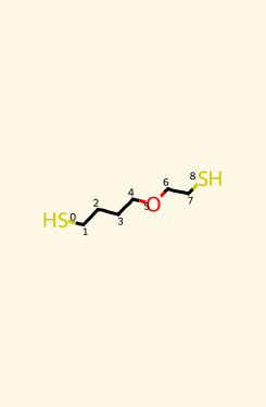 SCCCCOCCS